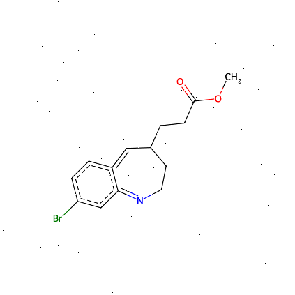 COC(=O)CCC1C=c2ccc(Br)cc2=NCC1